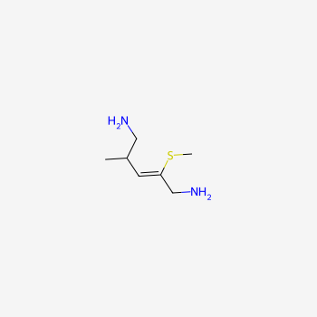 CS/C(=C\C(C)CN)CN